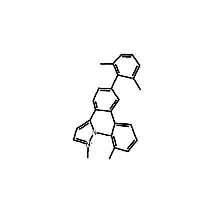 Cc1cccc(C)c1-c1ccc2c(c1)c1cccc(C)c1n1c2cc[n+]1C